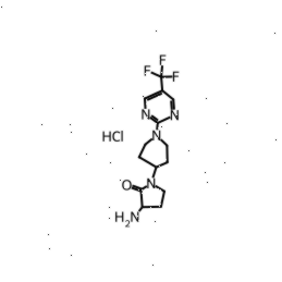 Cl.NC1CCN(C2CCN(c3ncc(C(F)(F)F)cn3)CC2)C1=O